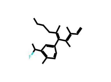 C=C/C(C)=C(C)/C(=C(\C)CCCC)c1ccc(C)c(C(C)F)c1